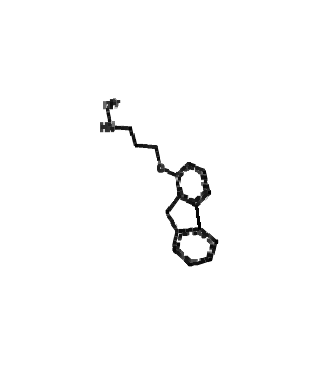 CCCNCCCOc1cccc2c1Cc1ccccc1-2